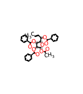 CC=C[C@@H](OC(=O)c1ccccc1)[C@H]1O[C@H](OC(C)=O)[C@H](OC(=O)c2ccccc2)[C@@H]1OC(=O)c1ccccc1